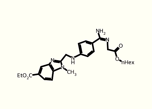 CCCCCCOC(=O)C/N=C(/N)c1ccc(NCc2nc3cc(C(=O)OCC)ccc3n2C)cc1